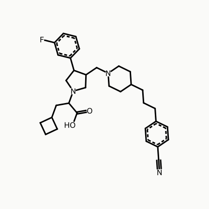 N#Cc1ccc(CCCC2CCN(CC3CN(C(CC4CCC4)C(=O)O)CC3c3cccc(F)c3)CC2)cc1